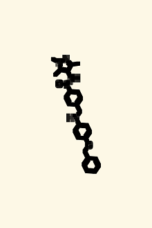 Cc1nn(C)c(C)c1N[S+]([O-])c1ccc(CNc2ccc(OCc3ccccc3)cc2)cc1